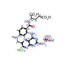 CCCCCN.CN(Cc1cnc2nc(N)nc(N)c2n1)c1ccc(C(=O)NC(CCC(=O)O)C(=O)O)cc1.Cl.O